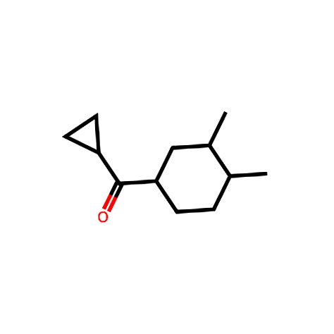 CC1CCC(C(=O)C2CC2)CC1C